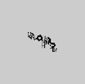 Brc1ccc(-c2ccnc(Nc3cccc(CN4CCOCC4)c3)n2)s1